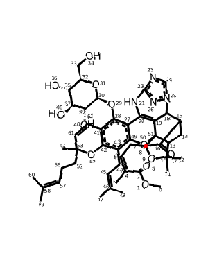 COC(=O)/C(C)=C\CC12OC(C)(C)C3CC(C1=O)C1C4=C(Nc5ncn1n5)c1c(O[C@@H]5O[C@H](CO)[C@@H](O)[C@H](O)[C@H]5O)c5c(c(CC=C(C)C)c1OC432)OC(C)(CCC=C(C)C)C=C5